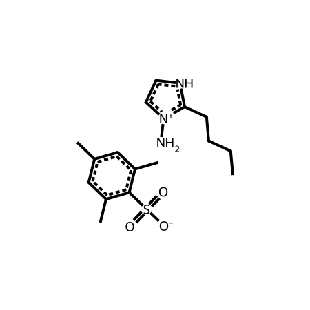 CCCCc1[nH]cc[n+]1N.Cc1cc(C)c(S(=O)(=O)[O-])c(C)c1